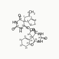 C=CCC1(C2C=CCC2)C(=O)NC(=O)NC1=O.CCC1(C2=CCCCC2)C(=O)NC(=O)NC1=O